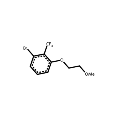 COCCOc1cccc(Br)c1C(F)(F)F